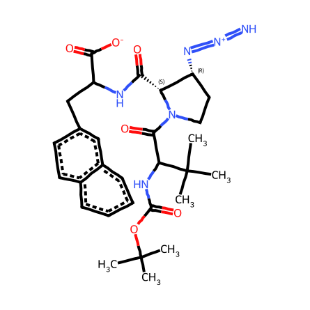 CC(C)(C)OC(=O)NC(C(=O)N1CC[C@@H](N=[N+]=N)[C@H]1C(=O)NC(Cc1ccc2ccccc2c1)C(=O)[O-])C(C)(C)C